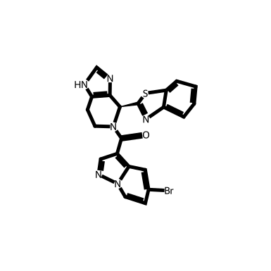 O=C(c1cnn2ccc(Br)cc12)N1CCc2[nH]cnc2[C@H]1c1nc2ccccc2s1